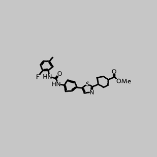 COC(=O)C1CCC(c2ncc(-c3ccc(NC(=O)Nc4cc(C)ccc4F)cc3)s2)CC1